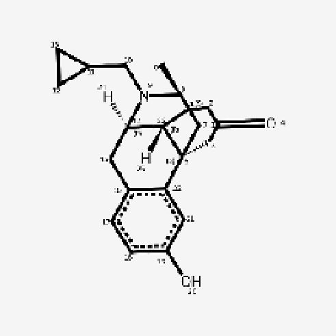 C[C@H]1CC(=O)C[C@]23CCN(CC4CC4)[C@H](Cc4ccc(O)cc42)[C@H]13